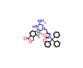 Cc1c([C@@H]2CN(Cc3cn(C(c4ccccc4)(c4ccccc4)c4ccccc4)c(=O)o3)C[C@H](N)N2)ccc2c1COC2=O